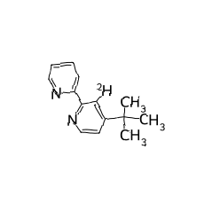 [2H]c1c(C(C)(C)C)ccnc1-c1ccccn1